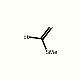 [CH]=C(CC)SC